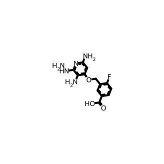 NNc1nc(N)cc(OCc2cc(C(=O)O)ccc2F)c1N